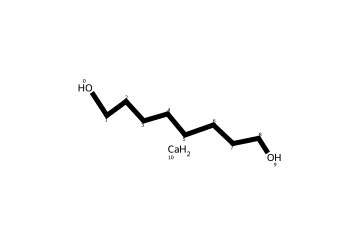 OCCCCCCCCO.[CaH2]